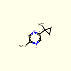 COc1cnc(C2(C#N)CC2)cn1